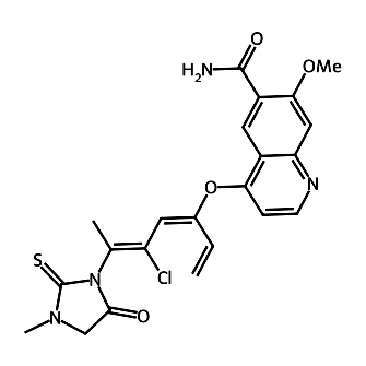 C=C/C(=C\C(Cl)=C(/C)N1C(=O)CN(C)C1=S)Oc1ccnc2cc(OC)c(C(N)=O)cc12